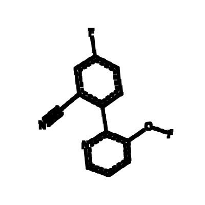 N#Cc1cc(F)ccc1-c1ncccc1OF